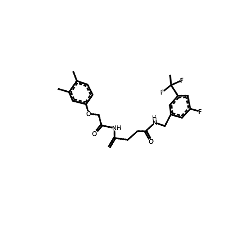 C=C(CCC(=O)NCc1cc(F)cc(C(C)(F)F)c1)NC(=O)COc1ccc(C)c(C)c1